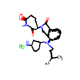 CC(C)CCN(c1cccc2c1CN(C1CCC(=O)NC1=O)C2=O)C1CCC(N)CC1.Cl